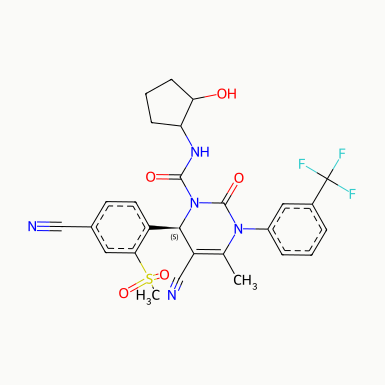 CC1=C(C#N)[C@@H](c2ccc(C#N)cc2S(C)(=O)=O)N(C(=O)NC2CCCC2O)C(=O)N1c1cccc(C(F)(F)F)c1